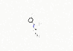 C/C(=C\C(=O)N=[N+]=[N-])c1cccc(Br)c1